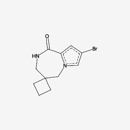 O=C1NCC2(CCC2)Cn2cc(Br)cc21